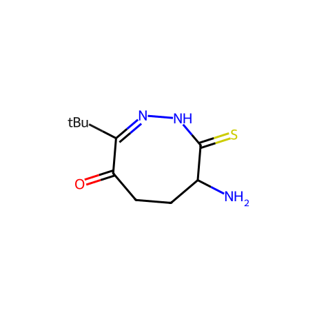 CC(C)(C)/C1=N/NC(=S)C(N)CCC1=O